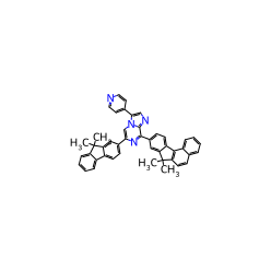 CC1(C)c2ccccc2-c2ccc(-c3cn4c(-c5ccncc5)cnc4c(-c4ccc5c(c4)C(C)(C)c4ccc6ccccc6c4-5)n3)cc21